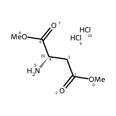 COC(=O)C[C@H](N)C(=O)OC.Cl.Cl